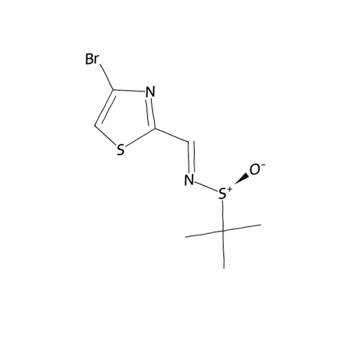 CC(C)(C)[S@+]([O-])/N=C/c1nc(Br)cs1